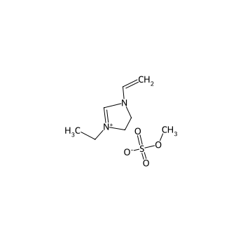 C=CN1C=[N+](CC)CC1.COS(=O)(=O)[O-]